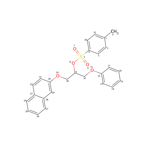 Cc1ccc(S(=O)(=O)OC(COc2ccccc2)COc2ccc3ccccc3c2)cc1